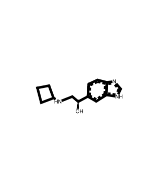 O[C@@H](CNC1CCC1)c1ccc2nc[nH]c2c1